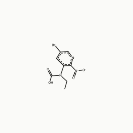 CCN(C(=O)O)c1cc(Br)cnc1[N+](=O)[O-]